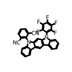 N#Cc1cccc(C#N)c1-n1c2ccccc2c2cc3c4ccccc4n(-c4c(F)c(F)c(F)c(F)c4F)c3cc21